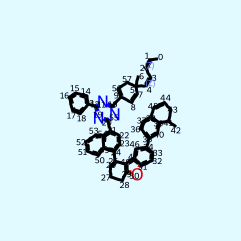 C/C=C\C=C/C1(C)C=CC(c2nc(-c3ccccc3)nc(-c3ccc(C4=CCCc5oc6ccc(-c7ccc8c(c7)C(C)CC=C8)cc6c54)c4ccccc34)n2)=CC1